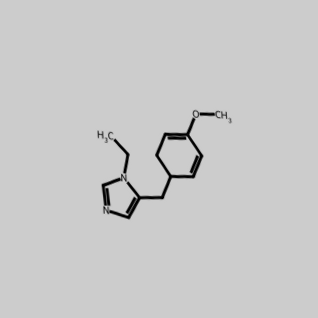 CCn1cncc1CC1C=CC(OC)=CC1